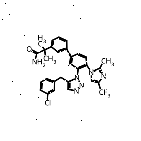 Cc1nc(C(F)(F)F)cn1-c1ccc(-c2cccc(C(C)(C)C(N)=O)c2)cc1-n1nncc1Cc1cccc(Cl)c1